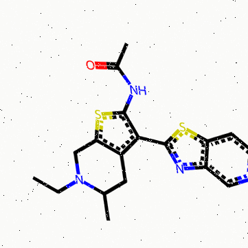 CCN1Cc2sc(NC(C)=O)c(-c3nc4cnccc4s3)c2CC1C